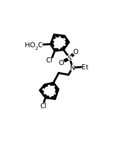 CCN(CCc1ccc(Cl)cc1)S(=O)(=O)c1cccc(C(=O)O)c1Cl